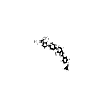 CN(C)[C@H]1CCN(c2ccc(-n3ccc4cc(-c5ccc(OC6CC6)cc5)sc4c3=O)cn2)C1